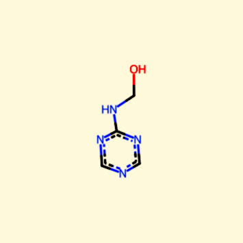 OCNc1ncncn1